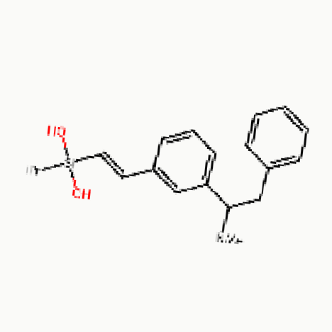 CNC(Cc1ccccc1)c1cccc(C=C[Si](O)(O)C(C)C)c1